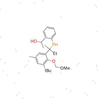 CCC(C)(Pc1ccccc1C(C)O)c1cc(C)cc(C(C)(C)C)c1OCOC